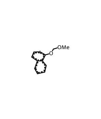 COCOc1[c]ccc2ccccc12